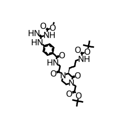 COC(=O)NC(=N)Nc1ccc(C(=O)NCC(=O)N2CCN(CC(=O)OC(C)(C)C)C(=O)[C@@H]2CCCNC(=O)OC(C)(C)C)cc1